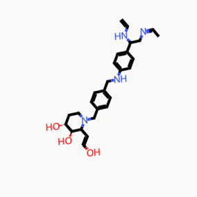 C=CNC(C/N=C\C)c1ccc(NCc2ccc(CN3CC[C@@H](O)[C@H](O)C3/C=C/O)cc2)cc1